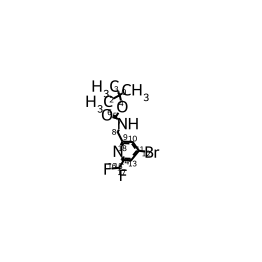 CC(C)(C)OC(=O)NCc1cc(Br)cc(C(F)F)n1